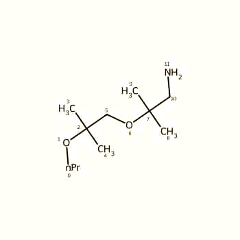 CCCOC(C)(C)COC(C)(C)CN